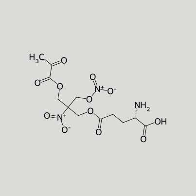 CC(=O)C(=O)OCC(COC(=O)CC[C@H](N)C(=O)O)(CO[N+](=O)[O-])[N+](=O)[O-]